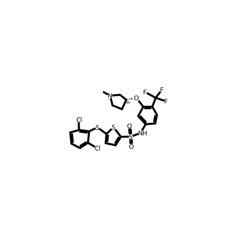 CN1CC[C@@H](Oc2cc(NS(=O)(=O)c3ccc(Sc4c(Cl)cccc4Cl)s3)ccc2C(F)(F)F)C1